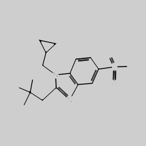 CC(C)(C)Cc1nc2cc(S(C)(=O)=O)ccc2n1CC1CC1